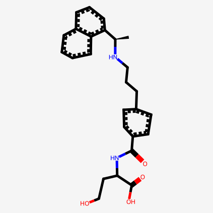 C[C@@H](NCCCc1ccc(C(=O)NC(CCO)C(=O)O)cc1)c1cccc2ccccc12